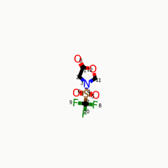 O=C1CN(S(=O)(=O)C(F)(F)F)CO1